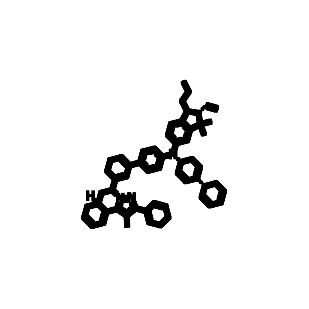 C=C[C@H]1C(CCC)c2ccc(N(c3ccc(C4=CCCC(C5C[C@H]6CC=CC=C6c6c(C)c(C7=CCCC=C7)nn65)=C4)cc3)[C@H]3C=CC([C@H]4C=CC=CC4)=CC3)cc2C1(C)C